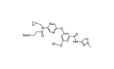 COCCC(=O)N(CC1CC1)c1cnc(Oc2cc(OC(C)C)cc(C(=O)Nc3ccn(C)n3)c2)cn1